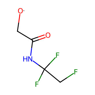 [O]CC(=O)NC(F)(F)CF